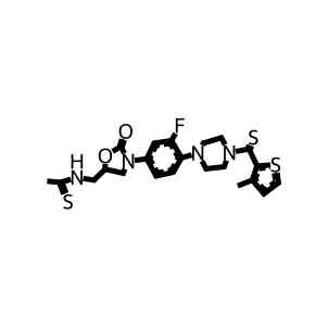 CC(=S)NCC1CN(c2ccc(N3CCN(C(=S)c4sccc4C)CC3)c(F)c2)C(=O)O1